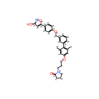 Cc1cc(OCCCN2CCCC2=O)cc(C)c1-c1cccc(COc2ccc(-c3cc(O)no3)cc2)c1